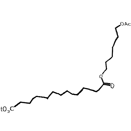 CCOC(=O)CCCCCCCCCCC(=O)OCCCCCCOC(C)=O